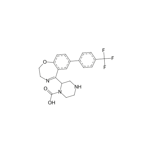 O=C(O)N1CCNCC1C1=NCCOc2ccc(-c3ccc(C(F)(F)F)cc3)cc21